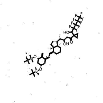 C=C1/C(=C\C=C2/CCC[C@]3(C)[C@@H]([C@H](C)C(O)CC(=O)C4(C(O)C(F)(F)C(F)(F)C(F)(F)C(F)(F)F)CC4)CC[C@@H]23)C[C@@H](O[Si](C)(C)C(C)(C)C)C[C@@H]1O[Si](C)(C)C(C)(C)C